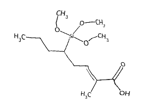 CCCC(C/C=C(\C)C(=O)O)[Si](OC)(OC)OC